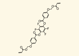 C=CC(=O)OCOc1ccc(C(=O)Oc2c(F)c(F)c(OC(=O)c3ccc(OCOC(=O)C=C)cc3)c(F)c2F)cc1